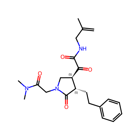 C=C(C)CNC(=O)C(=O)[C@@H]1CN(CC(=O)N(C)C)C(=O)[C@H]1CCc1ccccc1